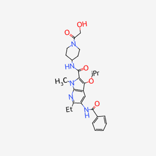 CCc1nc2c(cc1NC(=O)c1ccccc1)c(OC(C)C)c(C(=O)NC1CCN(C(=O)CO)CC1)n2C